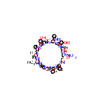 CCCC[C@H]1C(=O)N2CCC[C@H]2C(=O)N[C@@H](CC(=O)O)C(=O)N[C@@H](C(C)C)C(=O)N(C)[C@@H](Cc2ccccc2)C(=O)N[C@@H](Cc2ccc(O)cc2)C(=O)N2CCC[C@H]2C(=O)N[C@@H](Cc2c[nH]c3ccccc23)C(=O)N[C@@H](Cc2ccc(O)cc2)C(=O)N[C@@H](CC(C)C)C(=O)N[C@H](C(=O)NCC(N)=O)CSCC(=O)N[C@@H](Cc2ccccc2)C(=O)N(C)[C@@H](Cc2ccccc2)C(=O)N1C